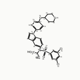 CC(C)(C)C(C(=O)O)N(c1ccc2c(ccn2-c2ccc(OC3CCOCC3)nn2)c1)S(=O)(=O)c1cc(Cl)cc(Cl)c1